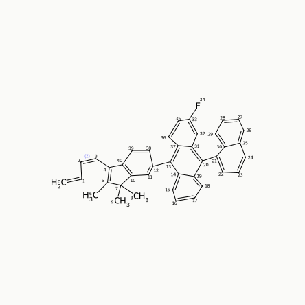 C=C/C=C\C1=C(C)C(C)(C)c2cc(-c3c4ccccc4c(-c4cccc5ccccc45)c4cc(F)ccc34)ccc21